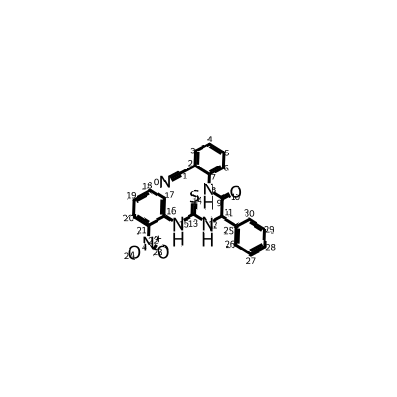 N#Cc1ccccc1NC(=O)C(NC(=S)Nc1ccccc1[N+](=O)[O-])c1ccccc1